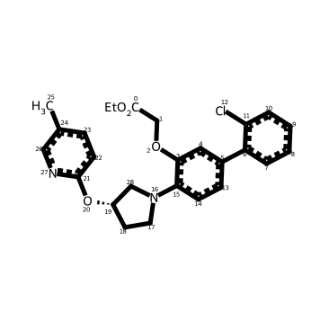 CCOC(=O)COc1cc(-c2ccccc2Cl)ccc1N1CC[C@H](Oc2ccc(C)cn2)C1